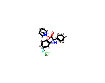 O=C(O[N+]12CCC(CC1)CC2)C(Nc1cccc(F)c1)c1ccccc1.[Cl-]